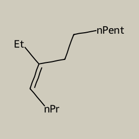 CCCC=C(CC)CCCCCCC